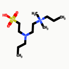 CCCN(CC[N+](C)(C)CCC)CCS(=O)(=O)O